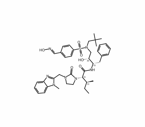 CC[C@H](C)[C@@H](C(=O)N[C@@H](Cc1ccccc1)[C@H](O)CN(CC(C)(C)C)S(=O)(=O)c1ccc(C=NO)cc1)N1CCN(Cc2nc3ccccc3n2C)C1=O